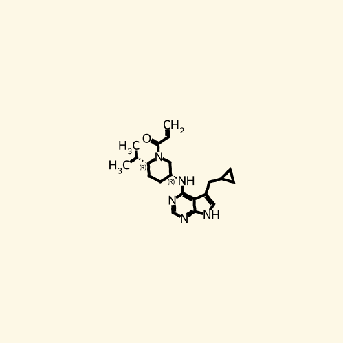 C=CC(=O)N1C[C@H](Nc2ncnc3[nH]cc(CC4CC4)c23)CC[C@@H]1C(C)C